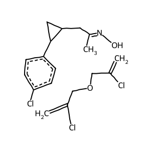 C/C(CC1CC1c1ccc(Cl)cc1)=N\O.C=C(Cl)COCC(=C)Cl